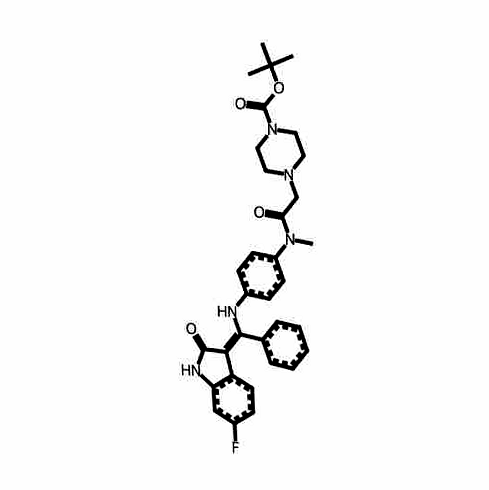 CN(C(=O)CN1CCN(C(=O)OC(C)(C)C)CC1)c1ccc(N/C(=C2\C(=O)Nc3cc(F)ccc32)c2ccccc2)cc1